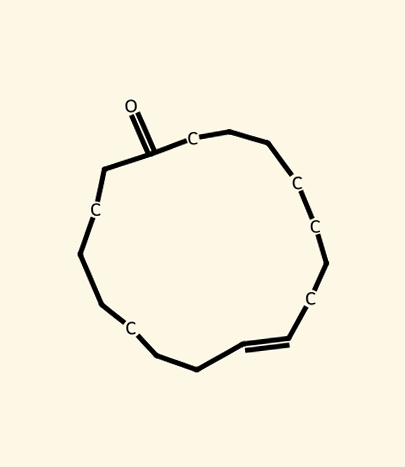 O=C1CCCCCCC/C=C/CCCCCCC1